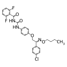 CCCCON=C(COc1ccc(NC(=O)NC(=O)c2c(F)cccc2F)cc1)c1ccc(Cl)cc1